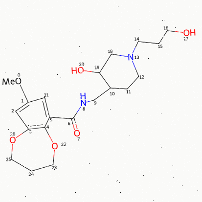 COc1cc2c(c(C(=O)NCC3CCN(CCCO)CC3O)c1)OCCCO2